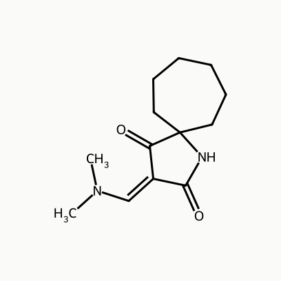 CN(C)C=C1C(=O)NC2(CCCCCC2)C1=O